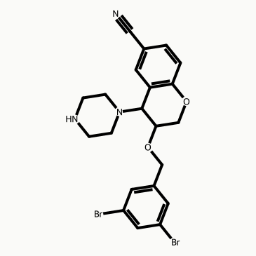 N#Cc1ccc2c(c1)C(N1CCNCC1)C(OCc1cc(Br)cc(Br)c1)CO2